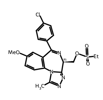 CCS(=O)(=O)OC[C@@H]1N=C(c2ccc(Cl)cc2)c2cc(OC)ccc2-n2c(C)nnc21